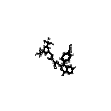 CN(Cc1cc(C(F)(F)F)cc(C(F)(F)F)c1)C(=O)Oc1oc(=O)c2ccccc2c1-c1ccc(F)cc1